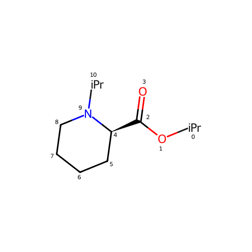 CC(C)OC(=O)[C@H]1CCCCN1C(C)C